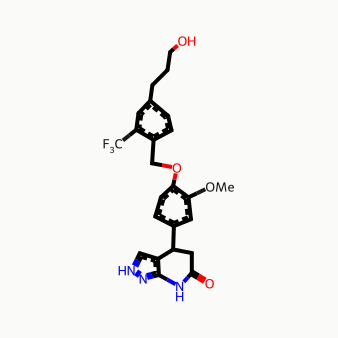 COc1cc(C2CC(=O)Nc3n[nH]cc32)ccc1OCc1ccc(CCCO)cc1C(F)(F)F